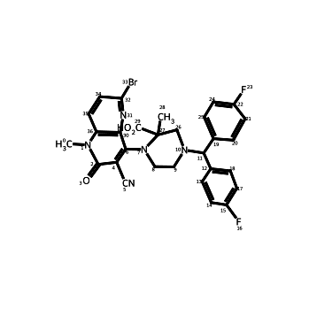 Cn1c(=O)c(C#N)c(N2CCN(C(c3ccc(F)cc3)c3ccc(F)cc3)CC2(C)C(=O)O)c2nc(Br)ccc21